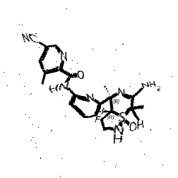 Cc1cc(C#N)cnc1C(=O)Nc1ccc(F)c([C@@]2(C)N=C(N)C(C)(C)S3(O)NCC[C@H]23)n1